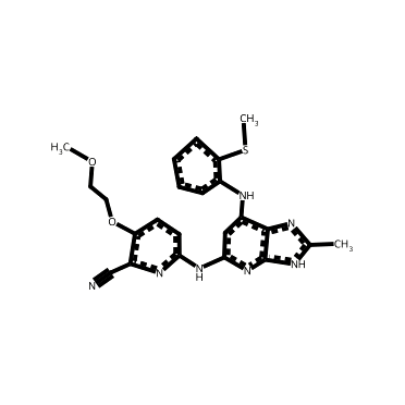 COCCOc1ccc(Nc2cc(Nc3ccccc3SC)c3nc(C)[nH]c3n2)nc1C#N